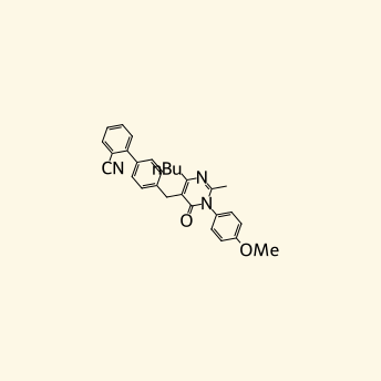 CCCCc1nc(C)n(-c2ccc(OC)cc2)c(=O)c1Cc1ccc(-c2ccccc2C#N)cc1